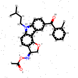 CC(=O)O/N=C1/COc2c1ccc1c2c2cc(C(=O)c3ccccc3C)ccc2n1CCC(C)C